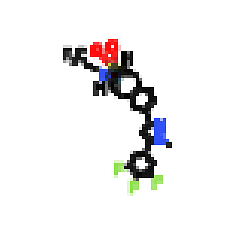 Cn1nc(-c2ccc3c(c2)C[C@H]2CC[C@@H](C3)[C@]23CN(CC(F)(F)F)S(=O)(=O)N3)cc1-c1cc(F)c(F)c(F)c1